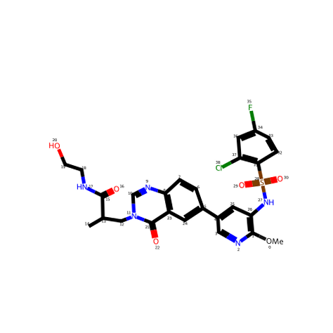 COc1ncc(-c2ccc3ncn(CC(C)C(=O)NCCO)c(=O)c3c2)cc1NS(=O)(=O)c1ccc(F)cc1Cl